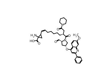 COc1ccc2c(O[C@@H]3C[C@@H](C=O)N(C(=O)[C@@H](CCCCC/C=C\C4CC4(N)C(=O)O)CC(=O)N4CCCCC4)C3)cc(-c3ccccc3)nc2c1